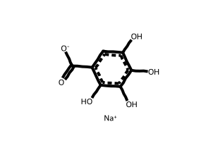 O=C([O-])c1cc(O)c(O)c(O)c1O.[Na+]